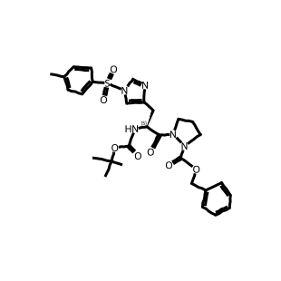 Cc1ccc(S(=O)(=O)n2cnc(C[C@H](NC(=O)OC(C)(C)C)C(=O)N3CCCN3C(=O)OCc3ccccc3)c2)cc1